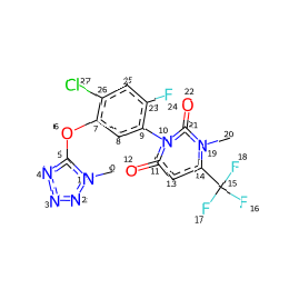 Cn1nnnc1Oc1cc(-n2c(=O)cc(C(F)(F)F)n(C)c2=O)c(F)cc1Cl